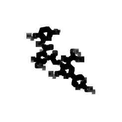 Cc1ncc(-c2cc3c(C(C)O)nn(CC(=O)N4C[C@](C)(F)C[C@H]4C(=O)Nc4nc(Br)ccc4C)c3c(C)n2)cn1